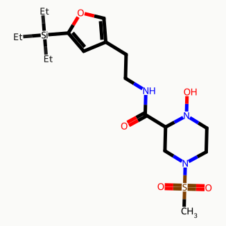 CC[Si](CC)(CC)c1cc(CCNC(=O)C2CN(S(C)(=O)=O)CCN2O)co1